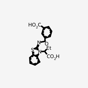 CCC(C(=O)O)n1/c(=N\C(=O)c2cccc(C(=O)O)c2)sc2ccccc21